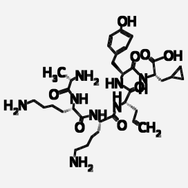 C=CC[C@H](NC(=O)[C@H](CCCCN)NC(=O)[C@H](CCCCN)NC(=O)[C@H](C)N)C(=O)N[C@@H](Cc1ccc(O)cc1)C(=O)N[C@@H](CC1CC1)C(=O)O